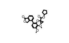 COc1ccc(-c2cccc3c2COC3=O)c(OC2(C(=O)OC3CCCC3)CC2)c1OC